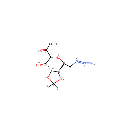 CC1(C)O[C@H](C(O)CN=[N+]=[N-])[C@@H](C(O)CC(=O)C(=O)O)O1